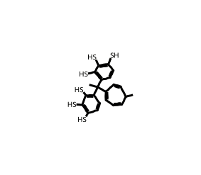 CC1C=CC=C(C(C)(c2ccc(S)c(S)c2S)c2ccc(S)c(S)c2S)C=C1